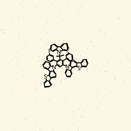 CC(C)(c1c(-c2cccc(F)c2)c(-n2c3ccccc3c3c4sc5ccccc5c4ccc32)cc(-n2c3ccccc3c3c4sc5ccccc5c4ccc32)c1-c1cccc(F)c1)n1c2ccccc2c2ccccc21